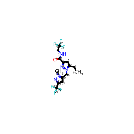 CCc1cc(C(=O)NCC(F)(F)F)nn1Cc1cc(C(F)(F)F)nn1C